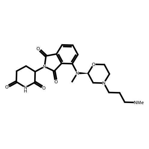 CNCCCN1CCO[C@H](N(C)c2cccc3c2C(=O)N(C2CCC(=O)NC2=O)C3=O)C1